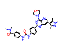 Cc1nn(C)c(C)c1-c1cnc2c(N3CCOCC3)nc(-c3ccc(NC(=O)Nc4ccc(C(=O)N(C)C)cc4)cc3)nc2c1